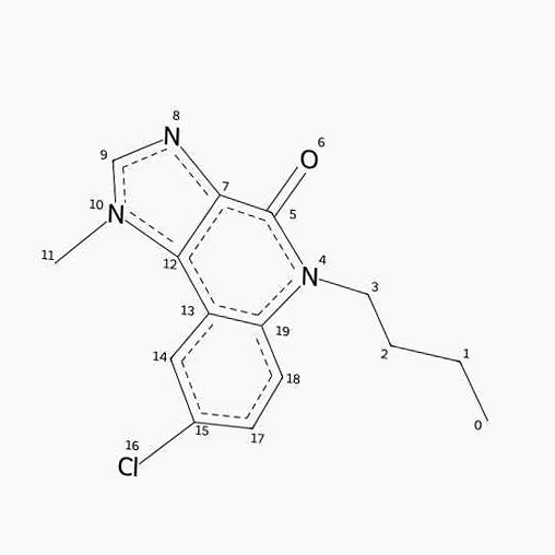 CCCCn1c(=O)c2ncn(C)c2c2cc(Cl)ccc21